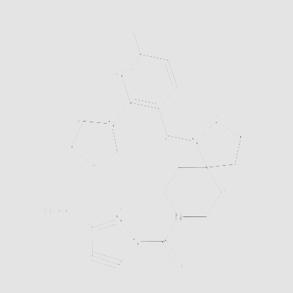 C[C@@H]1CC[C@H](C)N1c1cc(C(F)(F)F)ccc1CN1CCCC12CCN(C(=O)n1c#cc(C(=O)O)n1)CC2